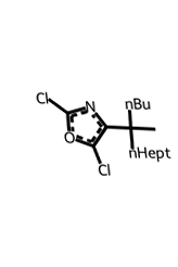 CCCCCCCC(C)(CCCC)c1nc(Cl)oc1Cl